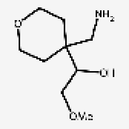 COCC(O)C1(CN)CCOCC1